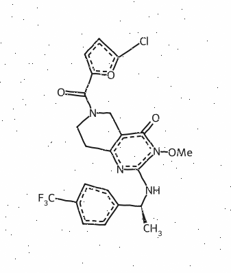 COn1c(N[C@@H](C)c2ccc(C(F)(F)F)cc2)nc2c(c1=O)CN(C(=O)c1ccc(Cl)o1)CC2